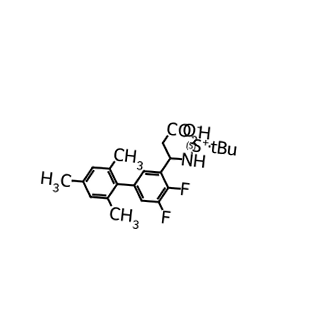 Cc1cc(C)c(-c2cc(F)c(F)c(C(CC(=O)O)N[S@+]([O-])C(C)(C)C)c2)c(C)c1